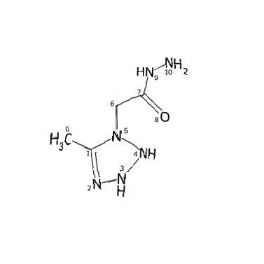 CC1=NNNN1CC(=O)NN